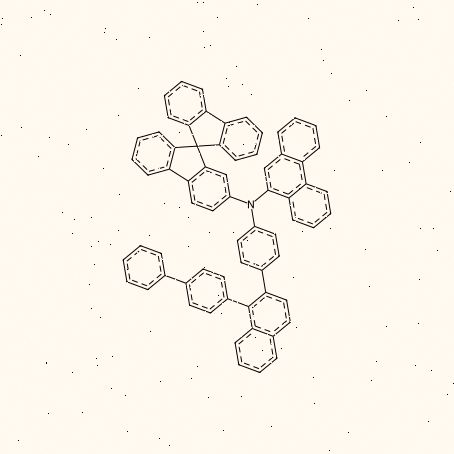 c1ccc(-c2ccc(-c3c(-c4ccc(N(c5ccc6c(c5)C5(c7ccccc7-c7ccccc75)c5ccccc5-6)c5cc6ccccc6c6ccccc56)cc4)ccc4ccccc34)cc2)cc1